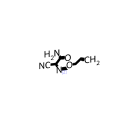 C=CCO/C=N\C(C#N)C(N)=O